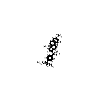 C[C@H]1CC[C@@]2(C)C(CC[C@@]3(N)C4CC[C@H](C(=O)c5ccc(N(C)C)cc5)[C@@]4(C)CC[C@H]23)C1